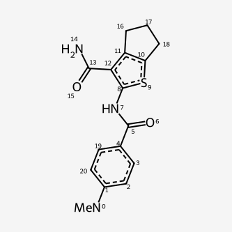 CNc1ccc(C(=O)Nc2sc3c(c2C(N)=O)CCC3)cc1